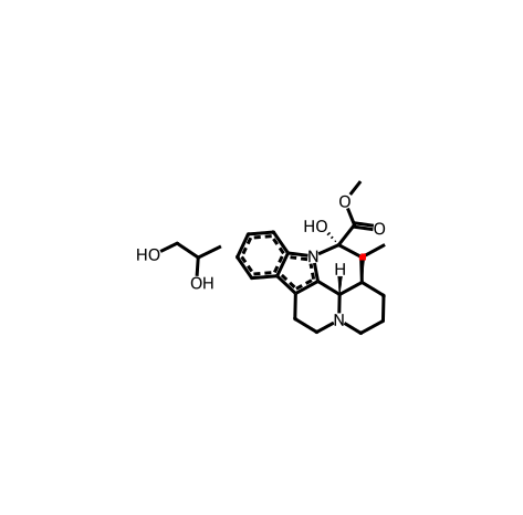 CC(O)CO.CC[C@]12CCCN3CCc4c(n(c5ccccc45)[C@@](O)(C(=O)OC)C1)[C@@H]32